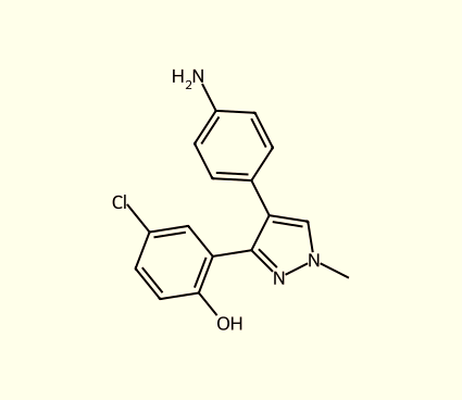 Cn1cc(-c2ccc(N)cc2)c(-c2cc(Cl)ccc2O)n1